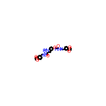 O=C(COc1ccc2[nH]c(C(=O)N/N=C/c3ccc4c(c3)OCCO4)cc2c1)N/N=C/c1ccc2c(c1)OCCO2